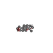 C=C(/C(=C\C=C/C)c1ccccc1)N(c1ccc2c(c1)C1(c3ccccc3-c3ccccc31)C1c3ccc(N(c4ccccc4-c4ccccc4)c4cccc5oc6ccccc6c45)cc3C3(c4ccccc4-c4ccccc43)C21)c1cccc2oc3ccccc3c12